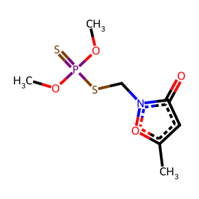 COP(=S)(OC)SCn1oc(C)cc1=O